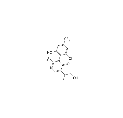 CC(CO)c1cnc(C(F)(F)F)n(-c2c(Cl)cc(C(F)(F)F)cc2C#N)c1=O